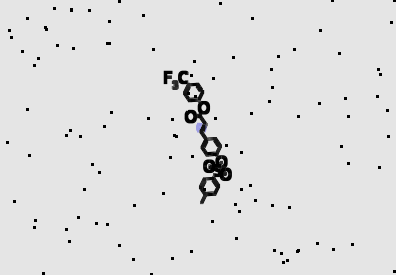 Cc1ccc(S(=O)(=O)Oc2ccc(/C=C/C(=O)Oc3ccc(C(F)(F)F)cc3)cc2)cc1